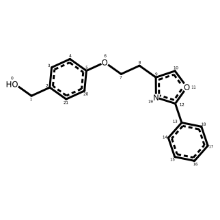 OCc1ccc(OCCc2coc(-c3ccccc3)n2)cc1